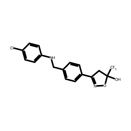 OC1(C(F)(F)F)CC(c2ccc(CNc3ccc(Cl)cc3)cc2)=NO1